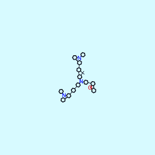 CC1(C)c2cc(-c3ccc4c(c3)c3ccccc3n4-c3ccccc3)ccc2-c2ccc(N(c3ccc(-c4ccc(-c5ccc6c7ccccc7n(-c7ccccc7)c6c5)cc4)cc3)c3ccc(-c4cccc5c4oc4ccccc45)cc3)cc21